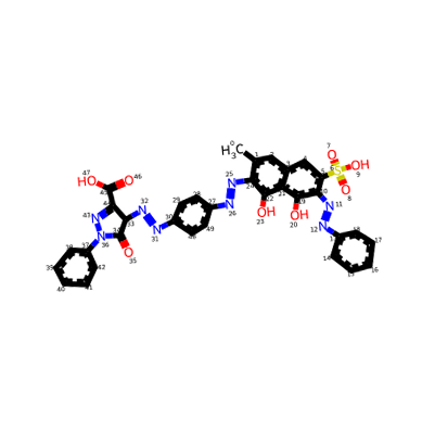 Cc1cc2cc(S(=O)(=O)O)c(N=Nc3ccccc3)c(O)c2c(O)c1N=Nc1ccc(N=NC2C(=O)N(c3ccccc3)N=C2C(=O)O)cc1